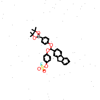 CC1(C)OB(c2ccc(OC(Oc3ccc(OS(=O)(=O)F)cc3)c3ccc4c(c3)Cc3ccccc3-4)cc2)OC1(C)C